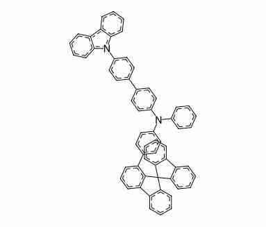 c1ccc(N(c2ccc(-c3ccc(-n4c5ccccc5c5ccccc54)cc3)cc2)c2ccc(-c3cccc4c3C3(c5ccccc5-c5ccccc53)c3ccccc3-4)cc2)cc1